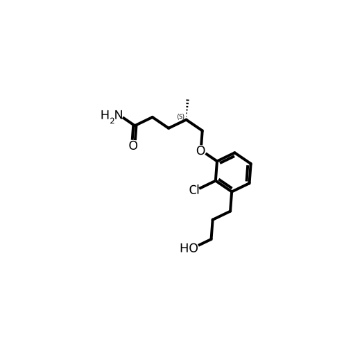 C[C@@H](CCC(N)=O)COc1cccc(CCCO)c1Cl